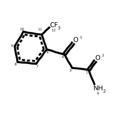 NC(=O)CC(=O)c1ccccc1C(F)(F)F